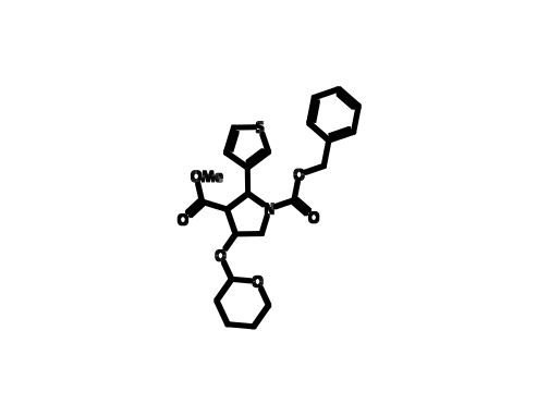 COC(=O)C1C(OC2CCCCO2)CN(C(=O)OCc2ccccc2)C1c1ccsc1